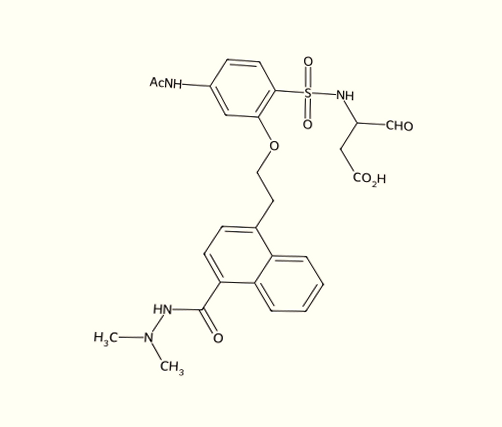 CC(=O)Nc1ccc(S(=O)(=O)NC(C=O)CC(=O)O)c(OCCc2ccc(C(=O)NN(C)C)c3ccccc23)c1